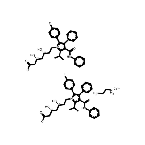 CC(C)c1c(C(=O)Nc2ccccc2)c(-c2ccccc2)c(-c2ccc(F)cc2)n1CC[C@@H](O)C[C@@H](O)CC(=O)[O-].CC(C)c1c(C(=O)Nc2ccccc2)c(-c2ccccc2)c(-c2ccc(F)cc2)n1CC[C@@H](O)C[C@@H](O)CC(=O)[O-].NCCN.[Ca+2]